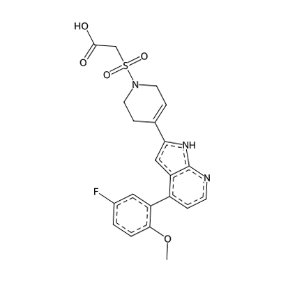 COc1ccc(F)cc1-c1ccnc2[nH]c(C3=CCN(S(=O)(=O)CC(=O)O)CC3)cc12